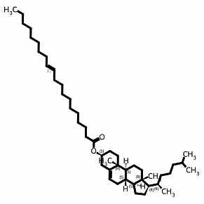 CCCCCCCC/C=C/CCCCCCCCCC(=O)O[C@H]1CC[C@@]2(C)C(=CC[C@H]3[C@@H]4CC[C@H]([C@H](C)CCCC(C)C)[C@@]4(C)CC[C@@H]32)C1